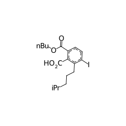 CCCCOC(=O)c1ccc(I)c(CCCC(C)C)c1C(=O)O